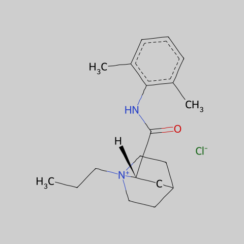 CCC[N+]12CCC(CC1)C[C@H]2C(=O)Nc1c(C)cccc1C.[Cl-]